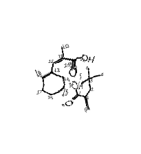 C=C(CC(C)(C)C)C(=O)O.CC(=CC1CCCCC1)C(=O)O